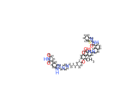 Cc1c(OC2CCC(CCCCN3CCN(Cc4nc5cc(C6CCC(=O)NC6=O)ccc5[nH]4)CC3)CC2)cccc1-c1ccc(N2CCc3cccc(C(=O)Nc4nc5ccccc5s4)c3C2)nc1C(=O)O